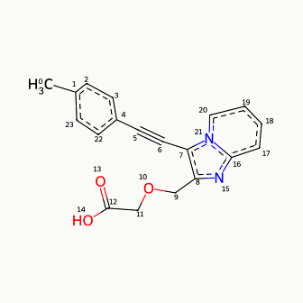 Cc1ccc(C#Cc2c(COCC(=O)O)nc3ccccn23)cc1